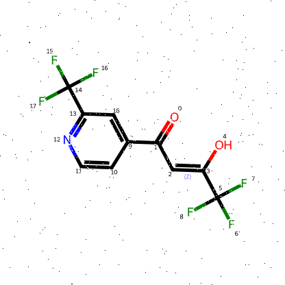 O=C(/C=C(\O)C(F)(F)F)c1ccnc(C(F)(F)F)c1